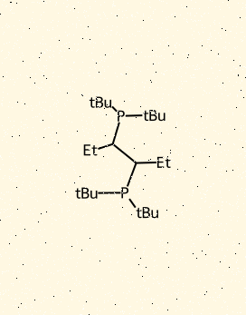 CCC(C(CC)P(C(C)(C)C)C(C)(C)C)P(C(C)(C)C)C(C)(C)C